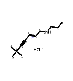 CCCNC/C=C/C#CC(C)(C)C.Cl